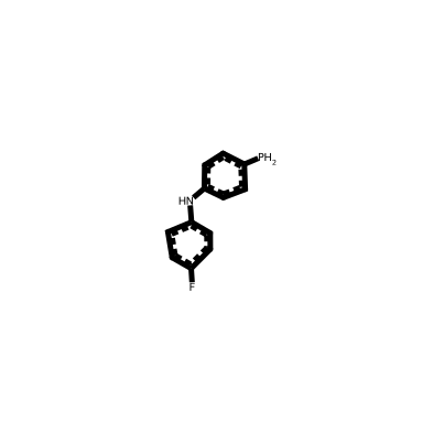 Fc1ccc(Nc2ccc(P)cc2)cc1